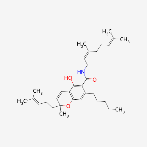 CCCCCc1cc2c(c(O)c1C(=O)NCC=C(C)CCC=C(C)C)C=CC(C)(CCC=C(C)C)O2